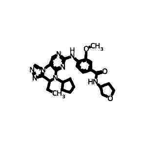 CCC1c2nncn2-c2cnc(Nc3ccc(C(=O)NC4CCOC4)cc3OC)nc2N1C1CCCC1